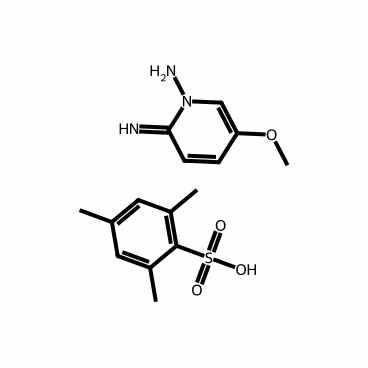 COc1ccc(=N)n(N)c1.Cc1cc(C)c(S(=O)(=O)O)c(C)c1